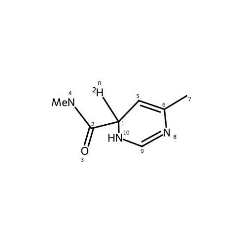 [2H]C1(C(=O)NC)C=C(C)N=CN1